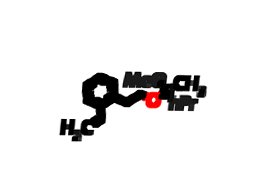 C=Cc1ccccc1CCO[Si](C)(CCC)OC